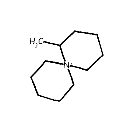 CC1CCCC[N+]12CCCCC2